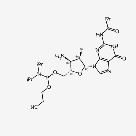 CC(C)C(=O)Nc1nc2c(ncn2[C@@H]2O[C@H](COP(OCCC#N)N(C(C)C)C(C)C)[C@@H](N)[C@H]2F)c(=O)[nH]1